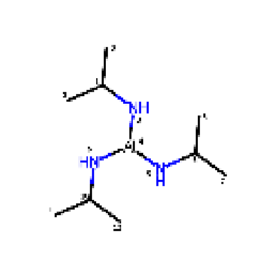 CC(C)[NH][Al]([NH]C(C)C)[NH]C(C)C